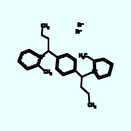 CCCC(c1ccc(C(CCC)[n+]2ccccc2C)cc1)[n+]1ccccc1C.[Br-].[Br-]